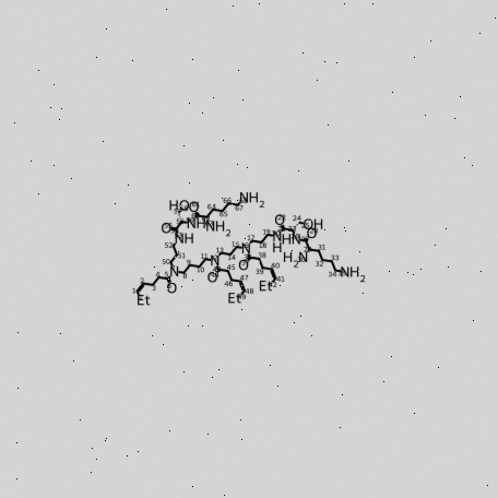 CC/C=C\CCC(=O)N(CCCCN(CCCN(CCCNC(=O)[C@H](CO)NC(=O)[C@@H](N)CCCCN)C(=O)CC/C=C\CC)C(=O)CC/C=C\CC)CCCNC(=O)[C@H](CO)NC(=O)[C@@H](N)CCCCN